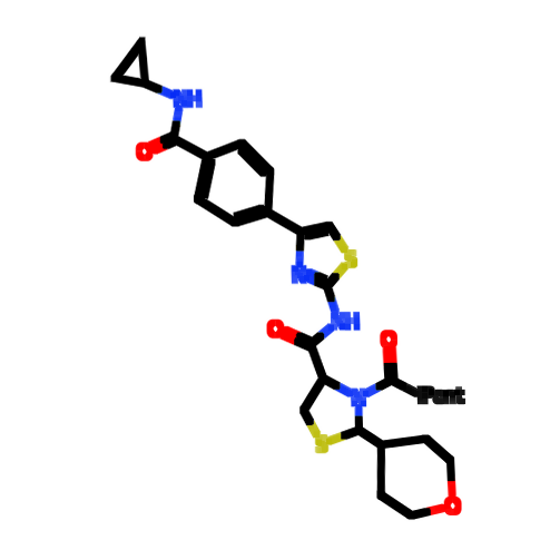 CCCC(C)C(=O)N1C(C(=O)Nc2nc(-c3ccc(C(=O)NC4CC4)cc3)cs2)CSC1C1CCOCC1